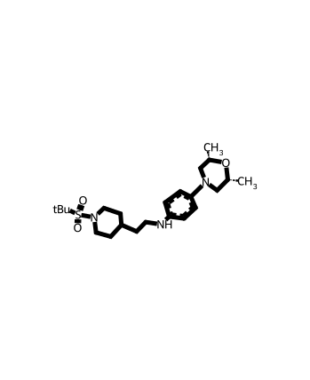 C[C@@H]1CN(c2ccc(NCCC3CCN(S(=O)(=O)C(C)(C)C)CC3)cc2)C[C@H](C)O1